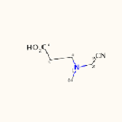 CN(CC#N)CCC(=O)O